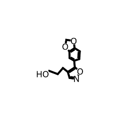 OCCCc1cnoc1-c1ccc2c(c1)OCO2